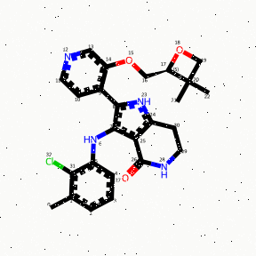 Cc1cccc(Nc2c(-c3ccncc3OC[C@H]3OCC3(C)C)[nH]c3c2C(=O)NCC3)c1Cl